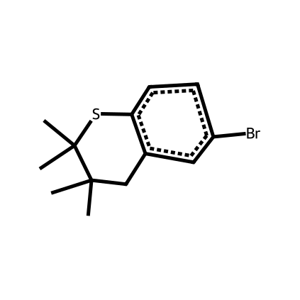 CC1(C)Cc2cc(Br)ccc2SC1(C)C